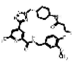 COc1cc(CNC(=O)c2cc(-c3nnn(C[C@H]4CC[C@H](NC(=O)CCO)CC4)n3)cc(C)n2)ccc1F